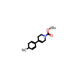 CC(C)(C)OC(=O)N1CC=C(C2=CCC(C#N)C=C2)CC1